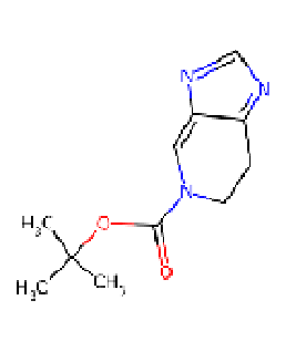 CC(C)(C)OC(=O)N1C=C2N=CN=C2CC1